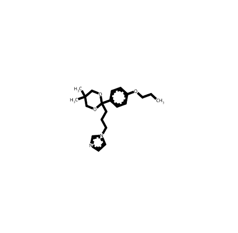 CCCOc1ccc(C2(CCCn3ccnc3)OCC(C)(C)CO2)cc1